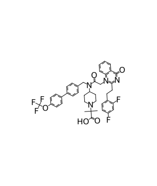 CC(C)(C(=O)O)N1CCC(N(Cc2ccc(-c3ccc(OC(F)(F)F)cc3)cc2)C(=O)Cn2c(CCc3ccc(F)cc3F)nc(=O)c3ccccc32)CC1